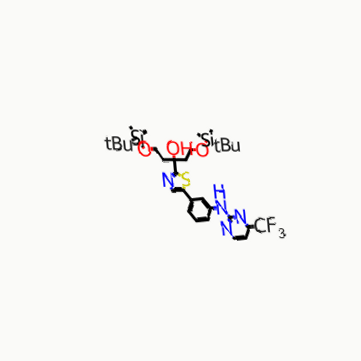 CC(C)(C)[Si](C)(C)OCCC(O)(CCO[Si](C)(C)C(C)(C)C)c1ncc(-c2cccc(Nc3nccc(C(F)(F)F)n3)c2)s1